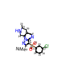 CNc1nn2c3c(cnc2c1S(=O)(=O)c1cccc(Cl)c1)CC(C)NC3